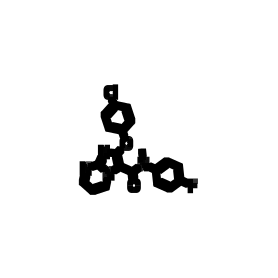 CN(C(=O)c1c(Oc2ccc(Cl)cc2)nc2ncccn12)c1ccc(F)cc1